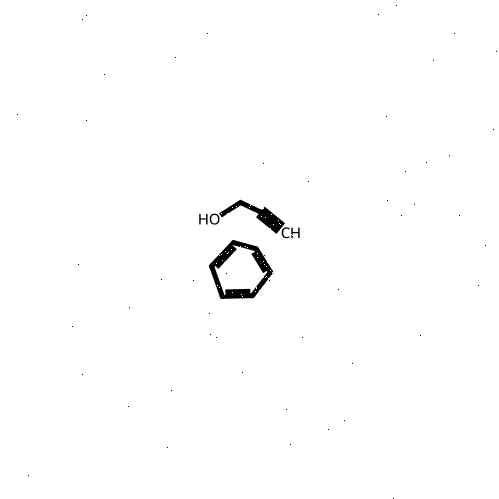 C#CCO.c1ccccc1